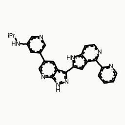 CC(C)Nc1cncc(-c2cnc3[nH]nc(-c4cc5c(-c6ccccn6)nccc5[nH]4)c3c2)c1